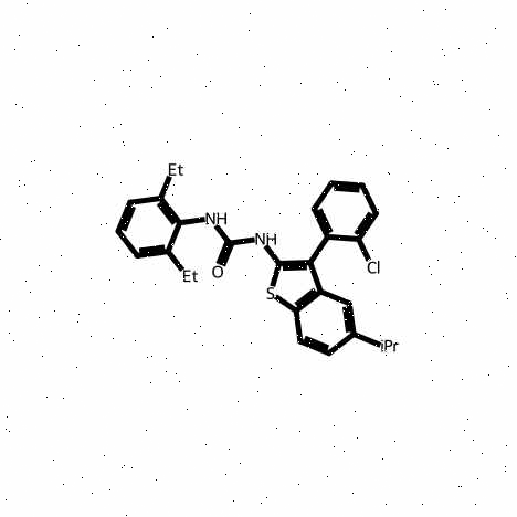 CCc1cccc(CC)c1NC(=O)Nc1sc2ccc(C(C)C)cc2c1-c1ccccc1Cl